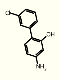 Nc1ccc(-c2cccc(Cl)c2)c(O)c1